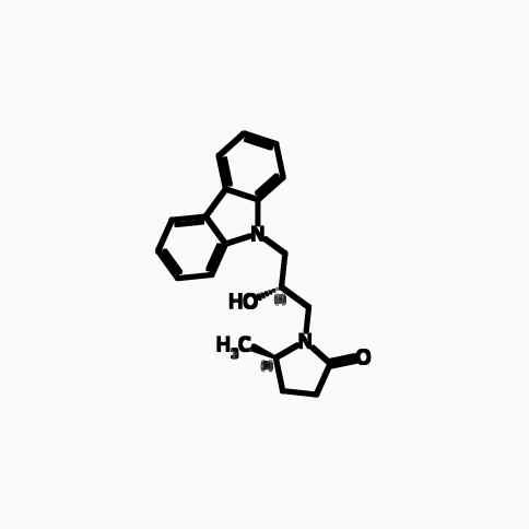 C[C@@H]1CCC(=O)N1C[C@H](O)Cn1c2ccccc2c2ccccc21